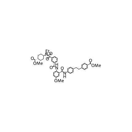 CCN([C@H]1CC[C@H](C(=O)OC)CC1)S(=O)(=O)c1cccc(C(=O)Nc2ccc(OC)cc2C(=O)Nc2ccc(CCc3ccc(C(=O)OC)cc3)cc2)c1